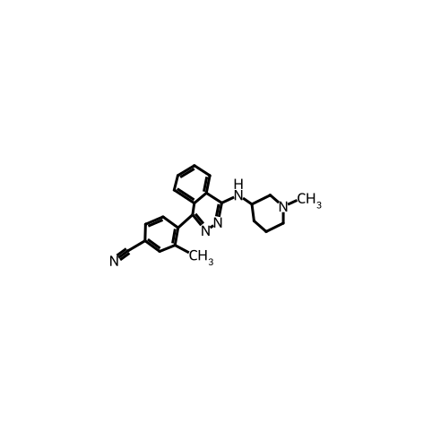 Cc1cc(C#N)ccc1-c1nnc(NC2CCCN(C)C2)c2ccccc12